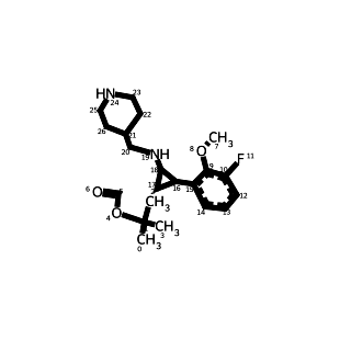 CC(C)(C)OC=O.COc1c(F)cccc1C1CC1NCC1CCNCC1